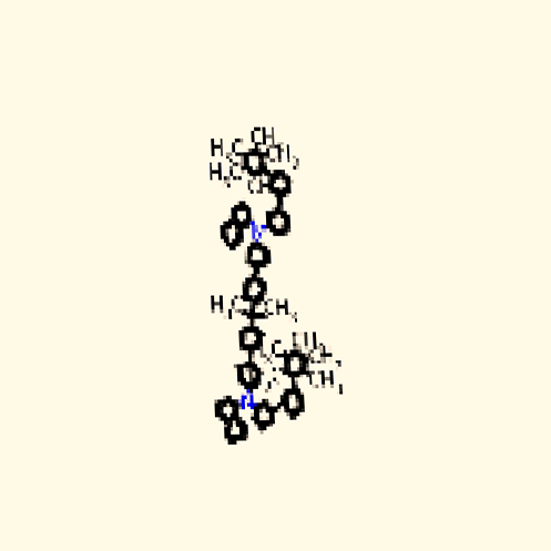 CCC(CC)(c1ccc(-c2ccc(N(c3cccc(-c4cccc(-c5c(C)c(C)c(C)c(C)c5C)c4)c3)c3cccc4ccccc34)cc2)cc1)c1ccc(-c2ccc(N(c3cccc(-c4cccc(-c5c(C)c(C)c(C)c(C)c5C)c4)c3)c3cccc4ccccc34)cc2)cc1